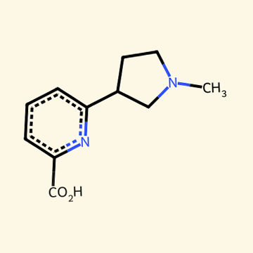 CN1CCC(c2cccc(C(=O)O)n2)C1